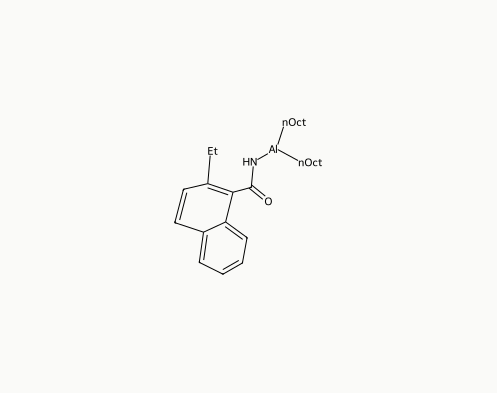 CCCCCCC[CH2][Al]([CH2]CCCCCCC)[NH]C(=O)c1c(CC)ccc2ccccc12